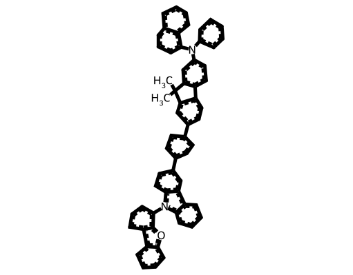 CC1(C)c2cc(-c3ccc(-c4ccc5c(c4)c4ccccc4n5-c4cccc5c4oc4ccccc45)cc3)ccc2-c2ccc(N(c3ccccc3)c3cccc4ccccc34)cc21